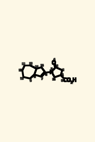 O=C(O)C1CC(=O)N(C2=CC3CCCCCC3C2)C1